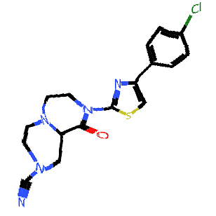 N#CN1CCN2CCN(c3nc(-c4ccc(Cl)cc4)cs3)C(=O)C2C1